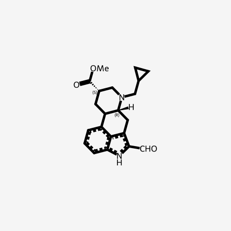 COC(=O)[C@H]1CC2c3cccc4[nH]c(C=O)c(c34)C[C@H]2N(CC2CC2)C1